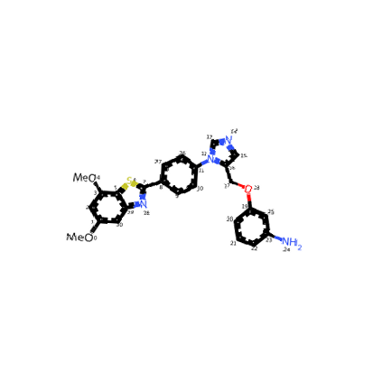 COc1cc(OC)c2sc(-c3ccc(-n4cncc4COc4cccc(N)c4)cc3)nc2c1